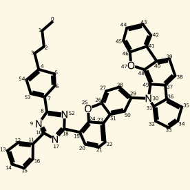 CCCCc1ccc(-c2nc(-c3ccccc3)nc(-c3cccc4c3oc3ccc(-n5c6ccccc6c6ccc7c8ccccc8oc7c65)cc34)n2)cc1